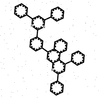 c1ccc(-c2cc(-c3ccccc3)nc(-c3cccc(-c4cc5nc(-c6ccccc6)cc(-c6ccccc6)c5c5ccccc45)c3)n2)cc1